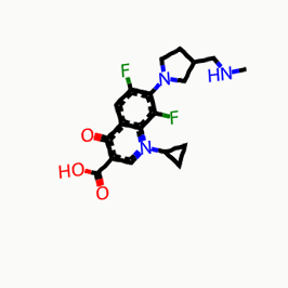 CNCC1CCN(c2c(F)cc3c(=O)c(C(=O)O)cn(C4CC4)c3c2F)C1